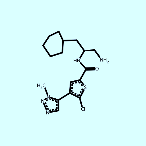 Cn1nncc1-c1cc(C(=O)N[C@H](CN)CC2CCCCC2)sc1Cl